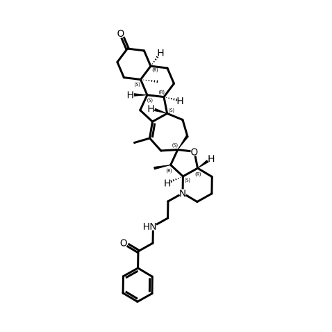 CC1=C2C[C@H]3[C@@H](CC[C@@H]4CC(=O)CC[C@@]43C)[C@@H]2CC[C@@]2(C1)O[C@@H]1CCCN(CCNCC(=O)c3ccccc3)[C@H]1[C@H]2C